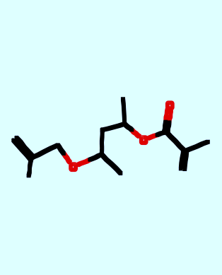 C=C(C)COC(C)CC(C)OC(=O)C(=C)C